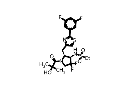 CCS(=O)(=O)N[C@@H]1[C@H](Cc2csc(-c3cc(F)cc(F)c3)n2)N(C(=O)C(C)(C)O)CC1(F)F